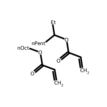 C=CC(=O)OC(CC)CCCCC.C=CC(=O)OCCCCCCCC